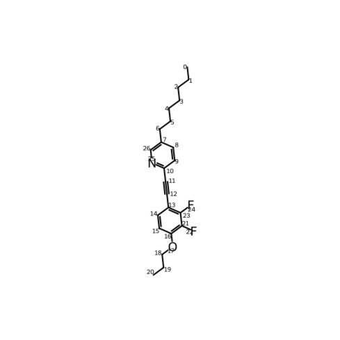 CCCCCCCc1ccc(C#Cc2ccc(OCCC)c(F)c2F)nc1